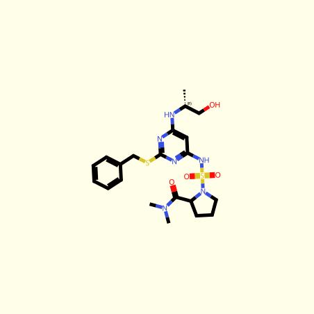 C[C@H](CO)Nc1cc(NS(=O)(=O)N2CCCC2C(=O)N(C)C)nc(SCc2ccccc2)n1